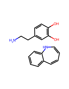 C1=CNc2ccccc2C=C1.NCCc1ccc(O)c(O)c1